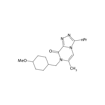 CCCc1nnc2c(=O)n(CC3CCC(OC)CC3)c(C)cn12